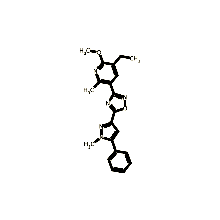 CCc1cc(-c2noc(-c3cc(-c4ccccc4)n(C)n3)n2)c(C)nc1OC